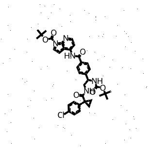 CC(C)(C)OC(=O)NC(CNC(=O)C1(c2ccc(Cl)cc2)CC1)c1ccc(C(=O)Nc2ccnc3c2ccn3C(=O)OC(C)(C)C)cc1